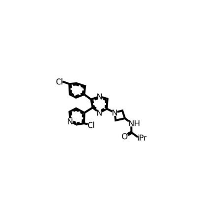 CC(C)C(=O)NC1CN(c2cnc(-c3ccc(Cl)cc3)c(-c3ccncc3Cl)n2)C1